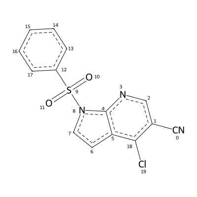 N#Cc1cnc2c(ccn2S(=O)(=O)c2ccccc2)c1Cl